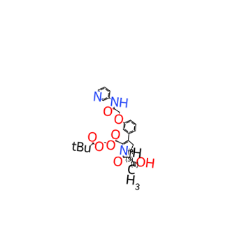 C[C@@H](O)[C@H]1C(=O)N2C(C(=O)OCOC(=O)C(C)(C)C)=C(c3cccc(OCC(=O)Nc4cccnc4)c3)C[C@H]12